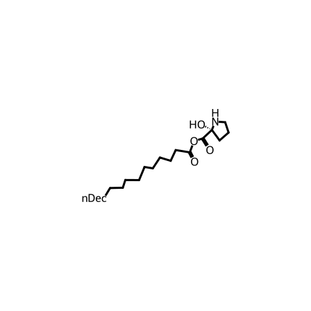 CCCCCCCCCCCCCCCCCCCC(=O)OC(=O)[C@]1(O)CCCN1